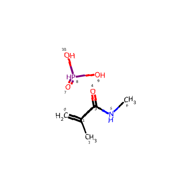 C=C(C)C(=O)NC.O=[PH](O)O